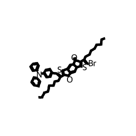 CCCCCCCCc1c(-c2ccc(N(c3ccccc3)c3ccccc3)cc2)sc2c1C(=O)C1=CC3c4sc(Br)c(CCCCCCCC)c4C(=O)C3C=C12